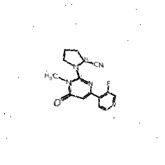 Cn1c(N2CCC[C@H]2C#N)nc(-c2ccncc2F)cc1=O